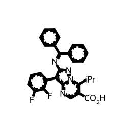 CC(C)c1c(C(=O)O)cnc2c(-c3cccc(F)c3F)c(N=C(c3ccccc3)c3ccccc3)nn12